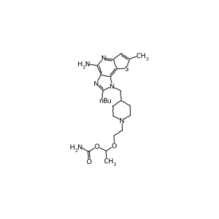 CCCCc1nc2c(N)nc3cc(C)sc3c2n1CC1CCN(CCOC(C)OC(N)=O)CC1